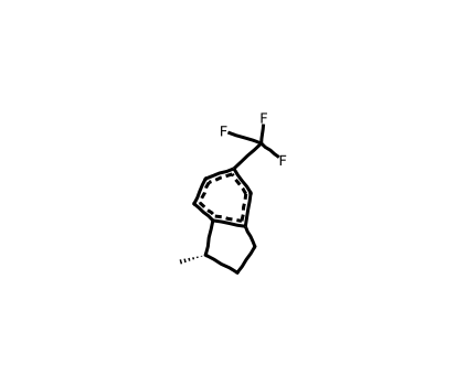 C[C@H]1CCc2cc(C(F)(F)F)ccc21